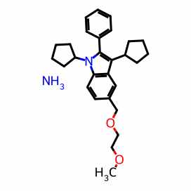 COCCOCc1ccc2c(c1)c(C1CCCC1)c(-c1ccccc1)n2C1CCCC1.N